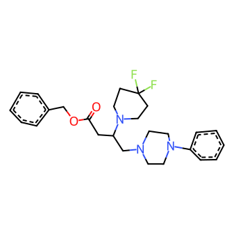 O=C(CC(CN1CCN(c2ccccc2)CC1)N1CCC(F)(F)CC1)OCc1ccccc1